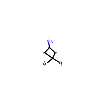 CCC1(C)CC(N)C1